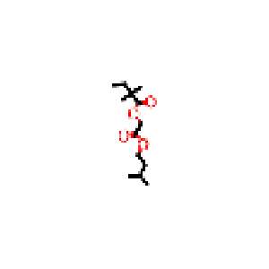 CCC(C)(C)C(=O)OCC(=O)OCCC(C)C